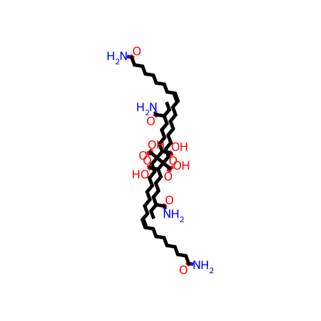 CCC(CCCCC(C(=O)O)C(CCCCCCCC/C=C\CCCCCCCC(N)=O)(C(=O)O)C(CCCCCCCC/C=C\CCCCCCCC(N)=O)(C(=O)O)C(CCCCC(CC)C(N)=O)C(=O)O)C(N)=O